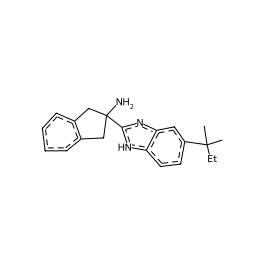 CCC(C)(C)c1ccc2[nH]c(C3(N)Cc4ccccc4C3)nc2c1